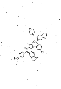 Cc1c(C(=O)N(c2ccc(O)cc2)c2cnc3c(c2)CCN3C)cn(-c2cc(Cl)ccc2C(=O)N2Cc3ccccc3C[C@H]2CN2CCOCC2)c1C